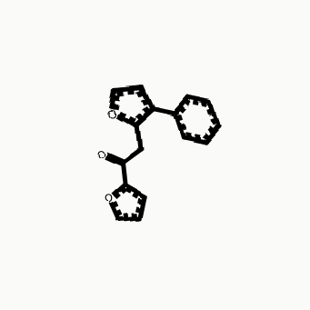 O=C(Cc1occc1-c1ccccc1)c1ccco1